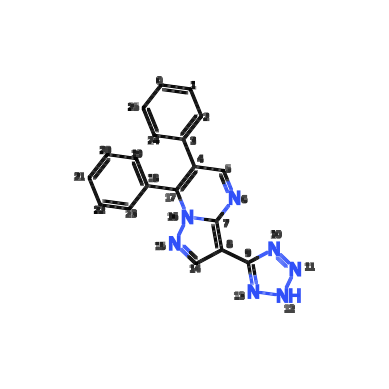 c1ccc(-c2cnc3c(-c4nn[nH]n4)cnn3c2-c2ccccc2)cc1